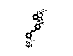 O=C(O)C[C@@H](CS(=O)(=O)c1ccc(CCc2cccc(NC3N=CCS3)c2)cc1)c1ccccc1